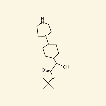 CC(C)(C)OC(=O)C(O)C1CCC(N2CCNCC2)CC1